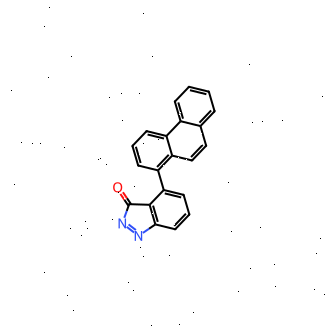 O=C1N=Nc2cccc(-c3cccc4c3ccc3ccccc34)c21